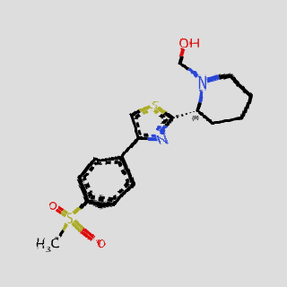 CS(=O)(=O)c1ccc(-c2csc([C@H]3CCCCN3CO)n2)cc1